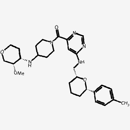 CO[C@@H]1COCC[C@@H]1NC1CCN(C(=O)c2cc(NC[C@H]3CCC[C@@H](c4ccc(C)cc4)O3)ncn2)CC1